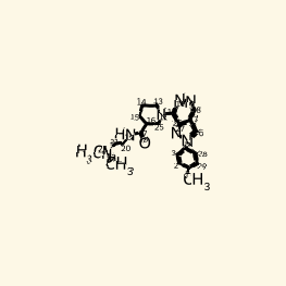 Cc1ccc(-n2cc3cnnc(N4CCCC(C(=O)NCCN(C)C)C4)c3n2)cc1